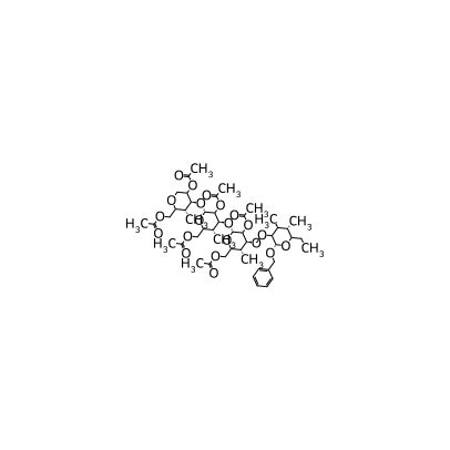 CCC1O[C@H](OCc2ccccc2)C(OO[C@@H]2C(OC(C)=O)[C@@H](O[C@@H]3C(OC(C)=O)[C@@H](O[C@@H]4C(OC(C)=O)COC(COC(C)=O)[C@H]4C)OC(COC(C)=O)[C@H]3C)OC(COC(C)=O)[C@H]2C)[C@@H](C)[C@@H]1C